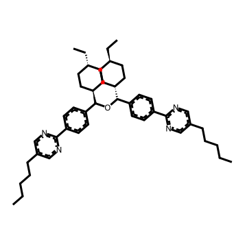 CCCCCc1cnc(-c2ccc(C(OC(c3ccc(-c4ncc(CCCCC)cn4)cc3)[C@H]3CC[C@H](CC)CC3)[C@H]3CC[C@H](CC)CC3)cc2)nc1